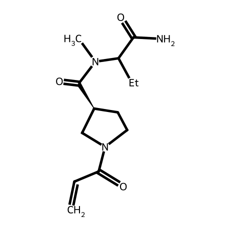 C=CC(=O)N1CC[C@H](C(=O)N(C)C(CC)C(N)=O)C1